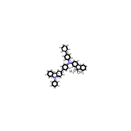 CC1(C)c2ccccc2-c2ccc(N(c3ccc(C4=CC=C5C(C4)c4ccccc4N5c4ccccc4)cc3)c3ccc(C4C=CC=CC4)cc3)cc21